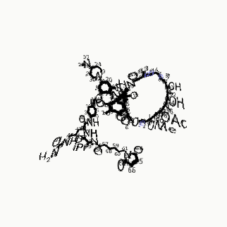 CO[C@H]1/C=C/O[C@@]2(C)Oc3c(C)c(O)c4c(=O)c(c5sc6cc(N7CCC(N(C)C)CC7)cc(OCc7ccc(NC(=O)[C@H](CCCNC(N)=O)NC(=O)C(NC(=O)CCCCCN8C(=O)C=CC8=O)C(C)C)cc7)c6nc-5c4c3C2=O)NC(=O)/C(C)=C\C=C\[C@H](C)[C@H](O)[C@@H](C)[C@@H](O)[C@@H](C)[C@H](OC(C)=O)[C@@H]1C